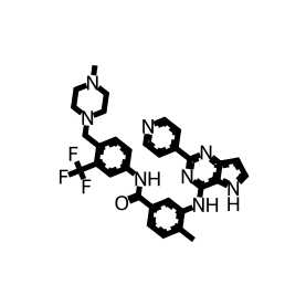 Cc1ccc(C(=O)Nc2ccc(CN3CCN(C)CC3)c(C(F)(F)F)c2)cc1Nc1nc(-c2ccncc2)nc2cc[nH]c12